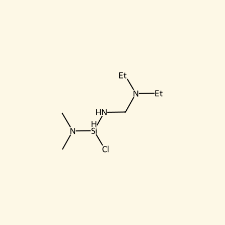 CCN(CC)CN[SiH](Cl)N(C)C